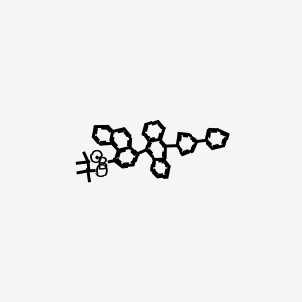 CC1(C)OB(c2ccc(-c3c4ccccc4c(-c4ccc(-c5ccccc5)cc4)c4ccccc34)c3ccc4ccccc4c23)OC1(C)C